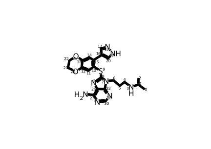 CC(C)NCCCn1c(Sc2cc3c(cc2-c2cn[nH]c2)OCCO3)nc2c(N)ncnc21